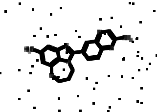 Cc1cc2c3c(c1)nc(-c1ccc4nc(N)cnc4c1)n3CCCO2